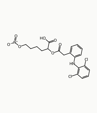 O=C(Cc1ccccc1Nc1c(Cl)cccc1Cl)OC(CCCCO[N+](=O)[O-])C(=O)O